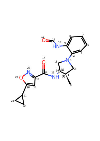 C[C@@H]1CN(c2ccccc2NC=O)C[C@H]1NC(=O)c1cc(C2CC2)on1